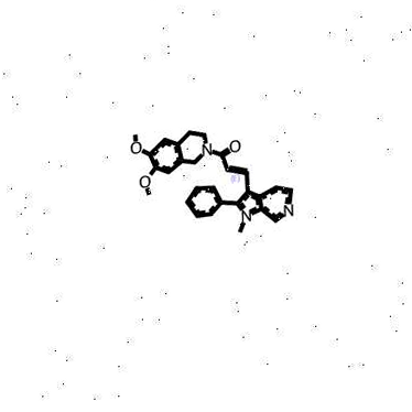 COc1cc2c(cc1OC)CN(C(=O)/C=C/c1c(-c3ccccc3)n(C)c3cnccc13)CC2